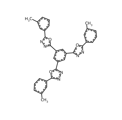 Cc1cccc(-c2nnc(-c3cc(-c4nnc(-c5cccc(C)c5)o4)cc(-c4nnc(-c5cccc(C)c5)o4)c3)o2)c1